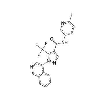 O=C(Nc1ccc(I)nc1)c1cnn(-c2cncc3ccccc23)c1C(F)(F)F